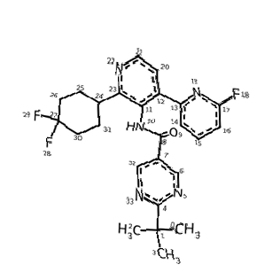 CC(C)(C)c1ncc(C(=O)Nc2c(-c3cccc(F)n3)ccnc2C2CCC(F)(F)CC2)cn1